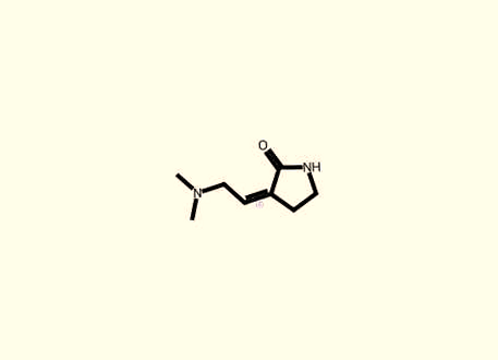 CN(C)C/C=C1/CCNC1=O